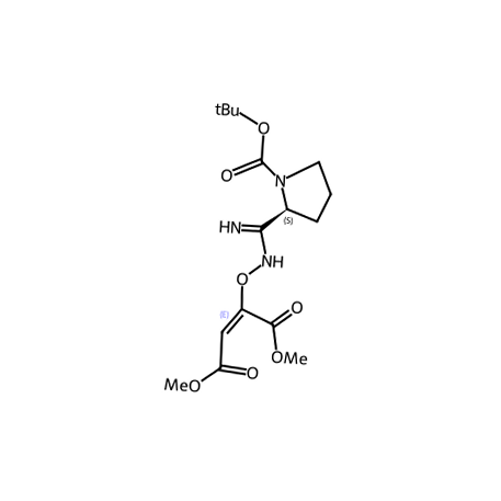 COC(=O)/C=C(/ONC(=N)[C@@H]1CCCN1C(=O)OC(C)(C)C)C(=O)OC